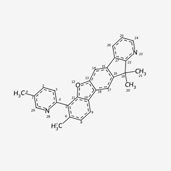 Cc1ccc(-c2c(C)ccc3c2oc2cc4c(cc23)C(C)(C)c2ncccc2-4)nc1